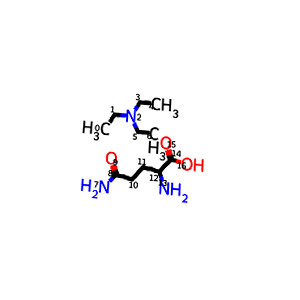 CCN(CC)CC.NC(=O)CCC(N)C(=O)O